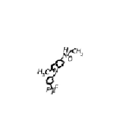 C=CC(=O)Nc1ccc2c(c1)cc(C)n2Cc1cccc(C(F)(F)F)c1